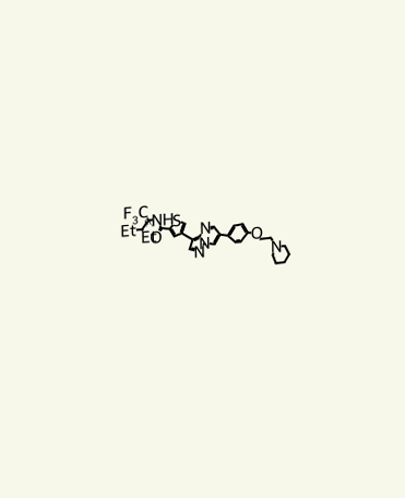 CCC(CC)[C@@H](NC(=O)c1cc(-c2cnn3cc(-c4ccc(OCCN5CCCCC5)cc4)cnc23)cs1)C(F)(F)F